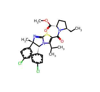 CC[C@@H]1CC[C@@H](C(=O)OC)N1C(=O)C1=C(C(C)C)N2C(=N[C@@](C)(c3ccc(Cl)cc3)[C@H]2c2ccc(Cl)cc2)S1